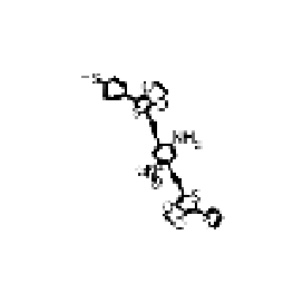 Nc1cc(C#Cc2sc(-c3cccs3)c3c2OCCO3)c([N+](=O)[O-])cc1C#Cc1sc(-c2ccc(S)cc2)c2c1OCCO2